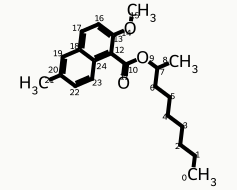 CCCCCCCC(C)OC(=O)c1c(OC)ccc2cc(C)ccc12